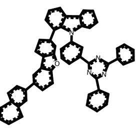 c1ccc(-c2nc(-c3ccccc3)nc(-c3cccc(-n4c5ccccc5c5cccc(-c6ccc7c(c6)oc6ccc(-c8ccc9ccccc9c8)cc67)c54)c3)n2)cc1